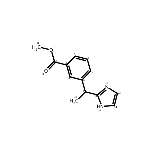 COC(=O)c1cccc(C(C)c2ncc[nH]2)c1